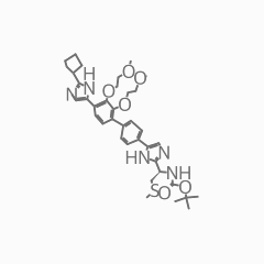 COCCOc1c(-c2ccc(-c3cnc([C@H](CSC)NC(=O)OC(C)(C)C)[nH]3)cc2)ccc(-c2cnc(C3CCCC3)[nH]2)c1OCCOC